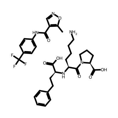 Cc1oncc1C(=O)Nc1ccc(C(F)(F)F)cc1.NCCCC[C@H](N[C@@H](CCc1ccccc1)C(=O)O)C(=O)N1CCC[C@H]1C(=O)O